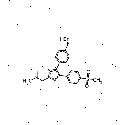 Br.CNCc1cc(-c2ccc(S(C)(=O)=O)cc2)c(-c2ccc(F)cc2)s1